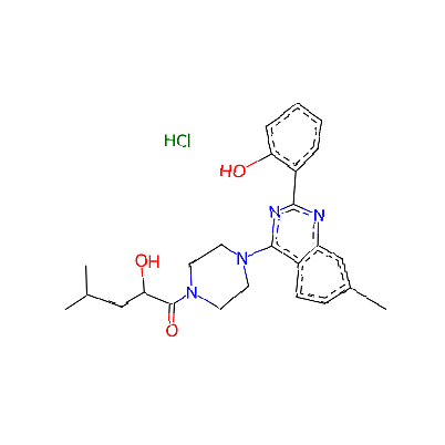 Cc1ccc2c(N3CCN(C(=O)C(O)CC(C)C)CC3)nc(-c3ccccc3O)nc2c1.Cl